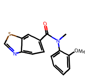 COc1ccccc1N(C)C(=O)c1ccc2ncsc2c1